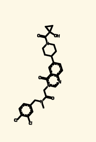 CN(Cc1ccc(Cl)c(Cl)c1)C(=O)Cn1cnc2ccc(C3CCN(C(=O)C4(O)CC4)CC3)cc2c1=O